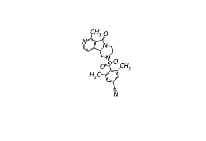 Cc1cc(C#N)cc(C)c1S(=O)(=O)N1CCN2C(=O)c3c(ccnc3C)C2C1